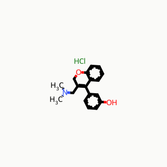 CN(C)CC1=C(c2cccc(O)c2)c2ccccc2OC1.Cl